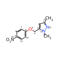 Cc1cc(COc2ccc([N+](=O)[O-])cc2)n(C)n1